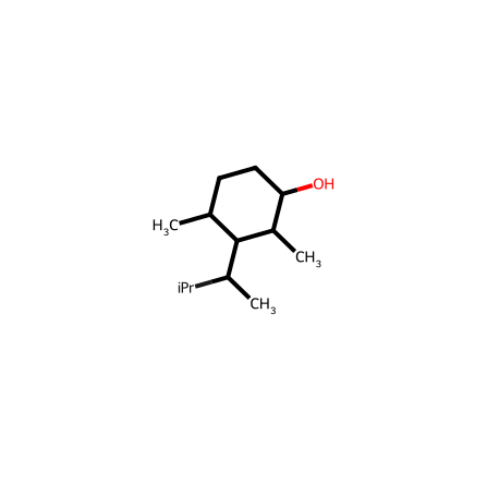 CC(C)C(C)C1C(C)CCC(O)C1C